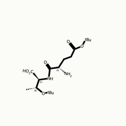 C[C@@H](OC(C)(C)C)[C@H](NC(=O)[C@@H](N)CCC(=O)OC(C)(C)C)C(=O)O